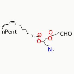 CCCCC/C=C\C/C=C\CCCCCCCC(=O)OC(CCN(C)C)COC(=O)CCC=O